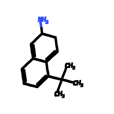 CC(C)(C)c1cccc2c1=CCC(N)C=2